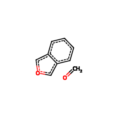 C=O.c1ccc2cocc2c1